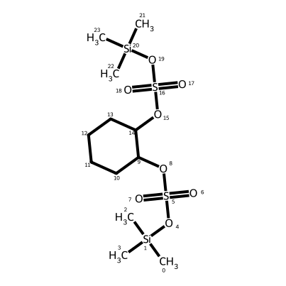 C[Si](C)(C)OS(=O)(=O)OC1CCCCC1OS(=O)(=O)O[Si](C)(C)C